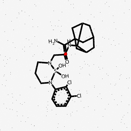 NC(=O)C12CC3CC(C1)C(NC(=O)CN1CCCN(c4cccc(Cl)c4Cl)S1(O)O)C(C3)C2